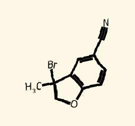 CC1(Br)COc2ccc(C#N)cc21